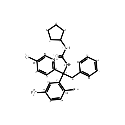 O=C(NC1CCCC1)NC(Cc1ccccc1)(c1ccc(Cl)cn1)c1cc(C(F)(F)F)ccc1F